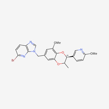 COc1ccc([C@@H]2Oc3c(OC)cc(Cn4cnc5ccc(Br)nc54)cc3OC2C)cn1